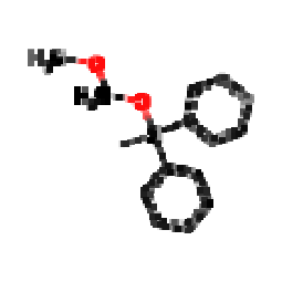 C[Si](O[SiH2]O[SiH3])(c1ccccc1)c1ccccc1